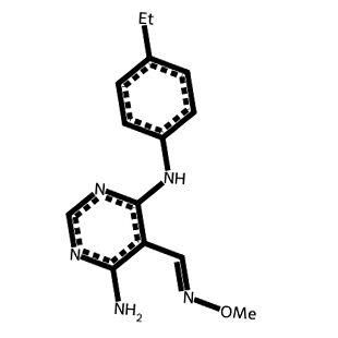 CCc1ccc(Nc2ncnc(N)c2C=NOC)cc1